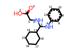 O=C(O)CNC(Nc1ccccc1)C1CCCCC1